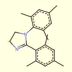 Cc1cc(C)c(C2=N[C]CN2c2c(C)cc(C)cc2C)c(C)c1